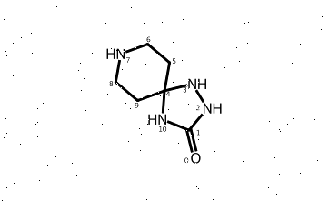 O=C1NNC2(CCNCC2)N1